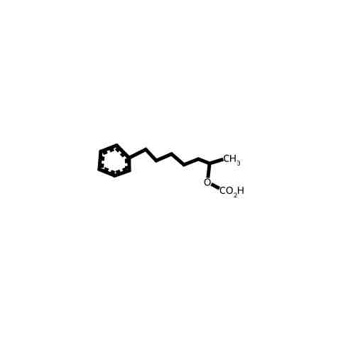 CC(CCCCCc1ccccc1)OC(=O)O